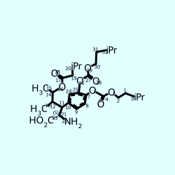 CC(C)CCOC(=O)Oc1ccc(C(C(C)C(C)OC(=O)CC(C)C)[C@H](N)C(=O)O)cc1OC(=O)OCCC(C)C